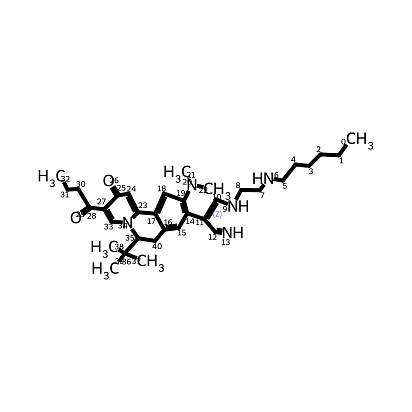 CCCCCCNCCN/C=C(\C=N)c1cc2c(cc1N(C)C)-c1cc(=O)c(C(=O)CCC)cn1C(C(C)(C)C)C2